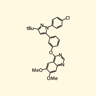 COc1cc2ncnc(Oc3cccc(-c4cc(C(C)(C)C)nn4-c4ccc(Cl)cc4)c3)c2cc1OC